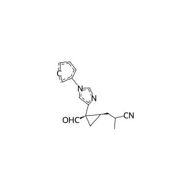 CC(C#N)C[C@H]1C[C@]1(C=O)c1cn(-c2ccccc2)cn1